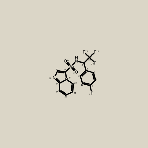 O=S(=O)(NC(c1ccc(F)cc1)C(F)(F)F)c1cnc2ccccn12